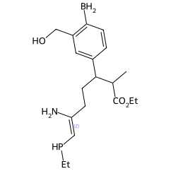 Bc1ccc(C(CC/C(N)=C/PCC)C(C)C(=O)OCC)cc1CO